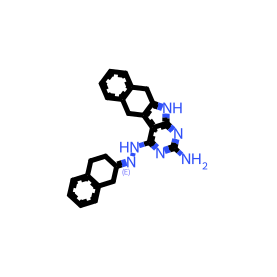 Nc1nc(N/N=C2\CCc3ccccc3C2)c2c3c([nH]c2n1)Cc1ccccc1C3